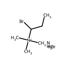 Br.CCC(Br)[N+](C)(C)C.N